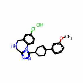 Cl.FC(F)(F)Oc1cccc(C2=CCC(c3nnc4n3-c3ccc(Cl)cc3CNC4)CC2)c1